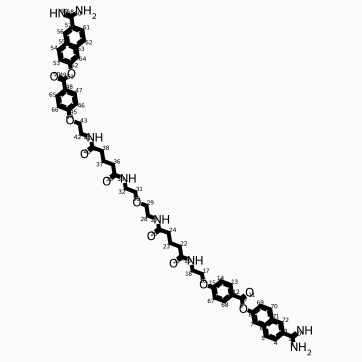 N=C(N)c1ccc2cc(OC(=O)c3ccc(OCCNC(=O)CCCC(=O)NCCOCCNC(=O)CCCC(=O)NCCOc4ccc(C(=O)Oc5ccc6cc(C(=N)N)ccc6c5)cc4)cc3)ccc2c1